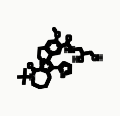 COc1cc2c(cc1C(=O)NCC(O)CO)-c1c(-c3cccs3)c3c(n1CC2)C(=O)N(C(C)(C)C)CCCC3